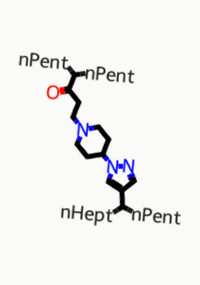 CCCCCCCC(CCCCC)c1cnn(C2CCN(CCC(=O)C(CCCCC)CCCCC)CC2)c1